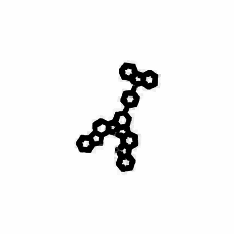 C1=CC2c3ccccc3OC2c2c1c1c3c(c4ccc5c6ccccc6oc5c4n23)CC(c2ccc(-n3c4ccccc4c4ccccc43)cc2)C=1